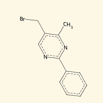 Cc1nc(-c2ccccc2)ncc1CBr